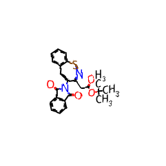 CC(C)(C)OC(=O)CC1=NSc2ccccc2C=C1N1C(=O)c2ccccc2C1=O